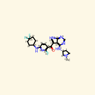 CC(=O)N1CC[C@@H](Nc2ncnc3[nH]cc(C(=O)c4ccc(NC5CCC(F)(F)CC5)nc4F)c23)C1